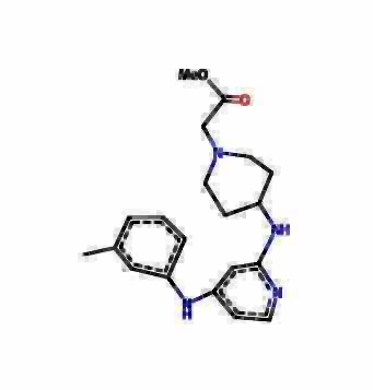 COC(=O)CN1CCC(Nc2cc(Nc3cccc(C)c3)ccn2)CC1